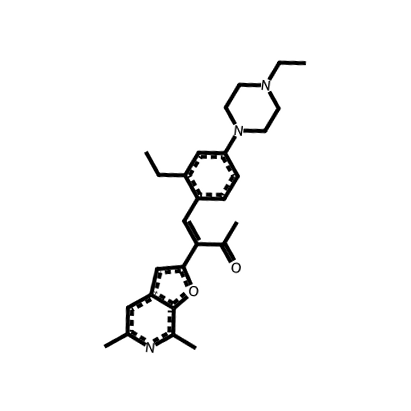 CCc1cc(N2CCN(CC)CC2)ccc1/C=C(\C(C)=O)c1cc2cc(C)nc(C)c2o1